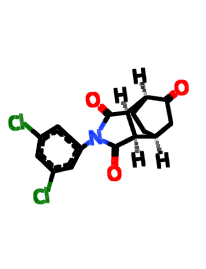 O=C1C[C@@H]2CC[C@H]1[C@@H]1C(=O)N(c3cc(Cl)cc(Cl)c3)C(=O)[C@H]21